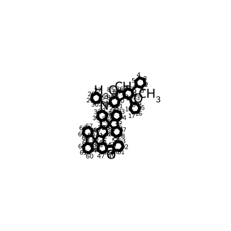 Cc1ccccc1-c1cc2c(c3c1oc1ccccc13)-c1ccc(N(c3ccccc3)c3ccc4c(c3)C3(C5=C4CC4C(=C5)c5c(ccc6oc7ccccc7c56)C45c4ccccc4-c4ccccc45)c4ccccc4-c4ccccc43)cc1C2(C)C